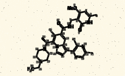 COc1cc(C)[nH]c(=O)c1CNC(=O)c1cc2c(-c3ccc(C)nc3C)ccn2c([C@H](C)N2CCN(CC(F)(F)F)CC2)c1C